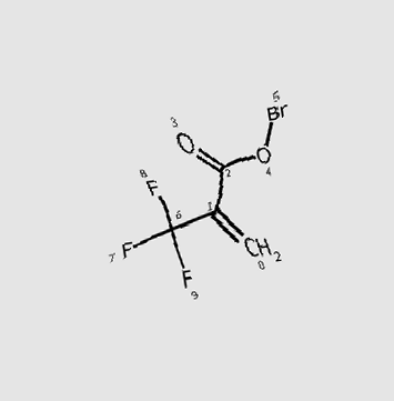 C=C(C(=O)OBr)C(F)(F)F